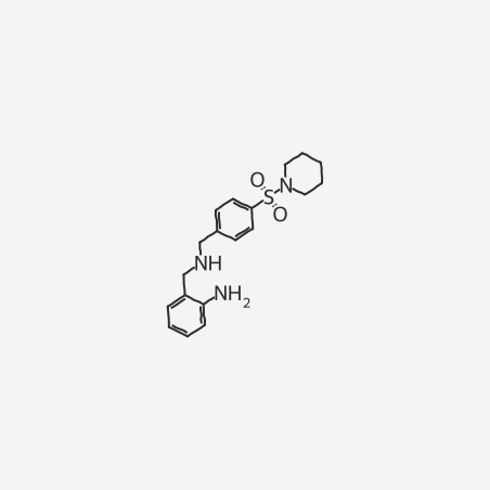 Nc1ccccc1CNCc1ccc(S(=O)(=O)N2CCCCC2)cc1